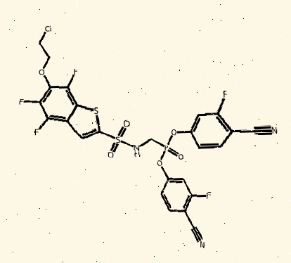 N#Cc1ccc(OP(=O)(CNS(=O)(=O)c2cc3c(F)c(F)c(OCCCl)c(F)c3s2)Oc2ccc(C#N)c(F)c2)cc1F